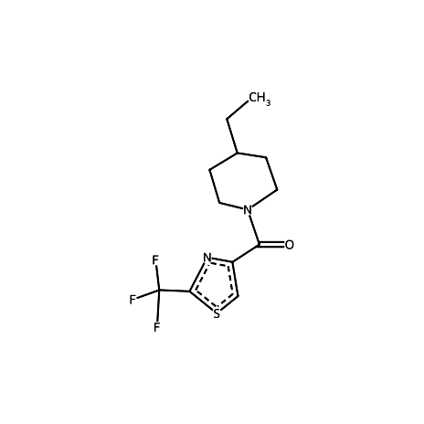 CCC1CCN(C(=O)c2csc(C(F)(F)F)n2)CC1